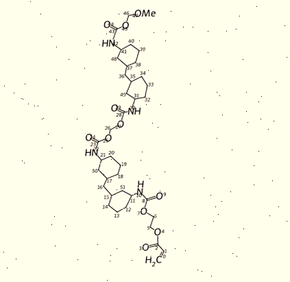 C=CC(=O)OCCOC(=O)NC1CCCC(CC2CCCC(NC(=O)OCOC(=O)NC3CCCC(CC4CCCC(NC(=O)OCOC)C4)C3)C2)C1